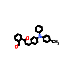 Cc1ccc(N(c2ccccc2)c2ccc(/C=C\C(=O)c3ccccc3C=O)cc2)cc1